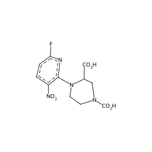 O=C(O)C1CN(C(=O)O)CCN1c1nc(F)ccc1[N+](=O)[O-]